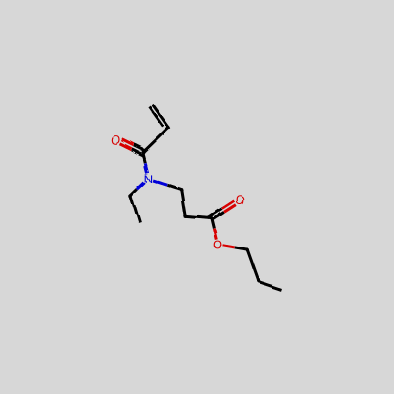 C=CC(=O)N(CC)CCC(=O)OCCC